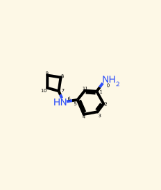 Nc1cccc(NC2CCC2)c1